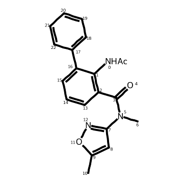 CC(=O)Nc1c(C(=O)N(C)c2cc(C)on2)cccc1-c1ccccc1